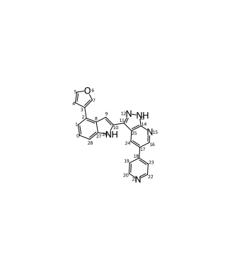 c1cc(-c2ccoc2)c2cc(-c3n[nH]c4ncc(-c5ccncc5)cc34)[nH]c2c1